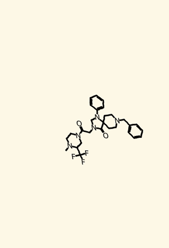 CN1CCN(C(=O)CN2CN(c3ccccc3)C3(CCN(Cc4ccccc4)CC3)C2=O)CC1C(F)(F)F